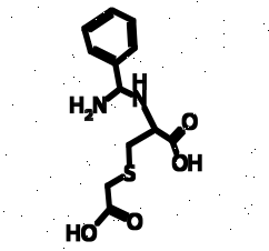 NC(NC(CSCC(=O)O)C(=O)O)c1ccccc1